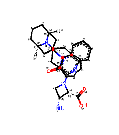 N[C@@H]1CN(c2nc3ccccc3n(C3C[C@H]4CCC[C@H](C3)N4C3CC4CCCCC(C4)C3)c2=O)[C@@H]1C(=O)O